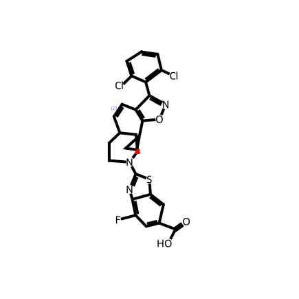 O=C(O)c1cc(F)c2nc(N3CCC(/C=C\c4c(-c5c(Cl)cccc5Cl)noc4C4CC4)CC3)sc2c1